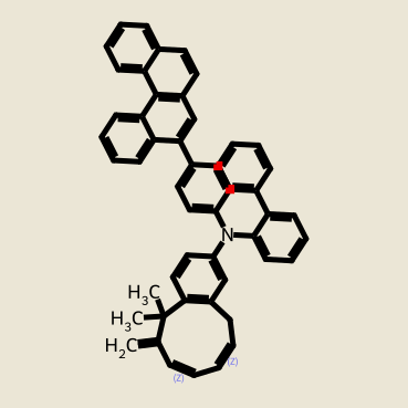 C=C1/C=C\C=C/Cc2cc(N(c3ccc(-c4cc5ccc6ccccc6c5c5ccccc45)cc3)c3ccccc3-c3ccccc3)ccc2C1(C)C